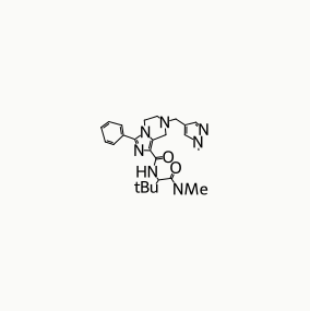 CNC(=O)C(NC(=O)c1nc(-c2ccccc2)n2c1CN(Cc1cnn(C)c1)CC2)C(C)(C)C